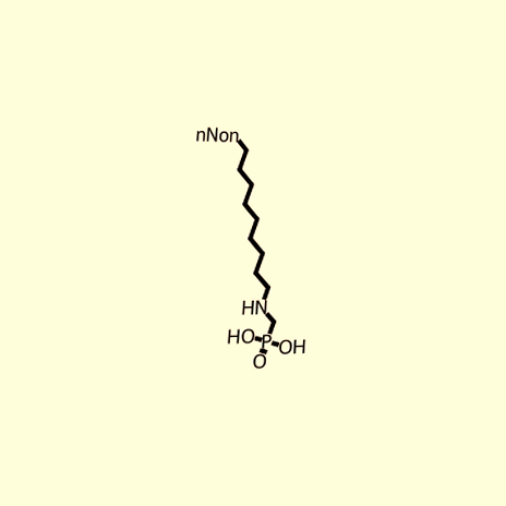 CCCCCCCCCCCCCCCCCCNCP(=O)(O)O